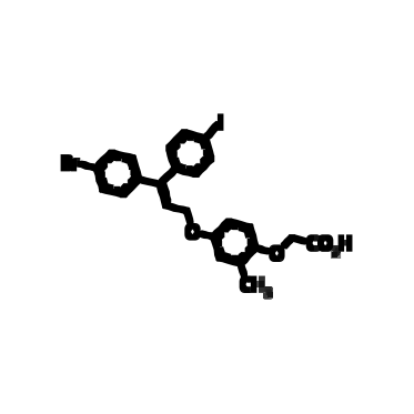 Cc1cc(OCC=C(c2ccc(Br)cc2)c2ccc(I)cc2)ccc1OCC(=O)O